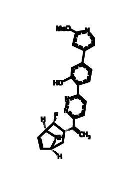 C=C(c1ccc(-c2ccc(-c3ccnc(OC)c3)cc2O)nn1)[C@@H]1C[C@H]2C=C[C@H](N2)[C@@H]1F